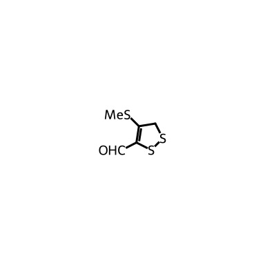 CSC1=C(C=O)SSC1